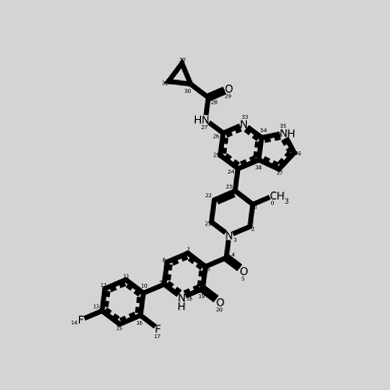 CC1CN(C(=O)c2ccc(-c3ccc(F)cc3F)[nH]c2=O)CC=C1c1cc(NC(=O)C2CC2)nc2[nH]ccc12